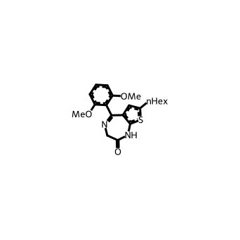 CCCCCCc1cc2c(s1)NC(=O)CN=C2c1c(OC)cccc1OC